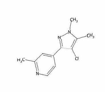 Cc1cc(-c2nn(C)c(C)c2Cl)ccn1